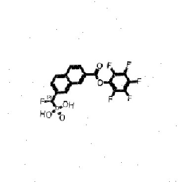 O=C(Oc1c(F)c(F)c(F)c(F)c1F)c1ccc2ccc([C@H](F)P(=O)(O)O)cc2c1